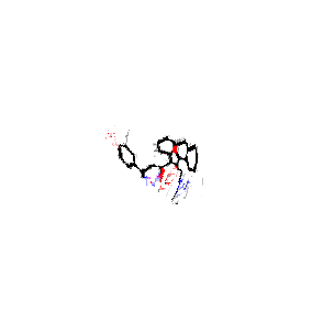 COc1ccc(-c2cnc(OC)c(C(c3ccccc3)C(O)(CCN(C)C)c3cccc4ccccc34)c2)cc1